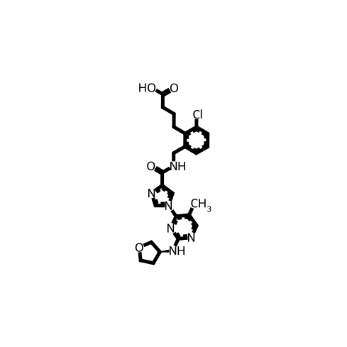 Cc1cnc(N[C@H]2CCOC2)nc1-n1cnc(C(=O)NCc2cccc(Cl)c2CCCC(=O)O)c1